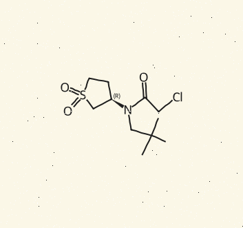 CC(C)(C)CN(C(=O)CCl)[C@@H]1CCS(=O)(=O)C1